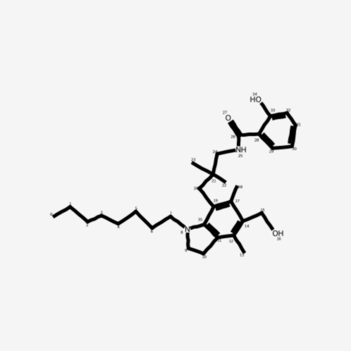 CCCCCCCCN1CCc2c(C)c(CO)c(C)c(CC(C)(C)CNC(=O)c3ccccc3O)c21